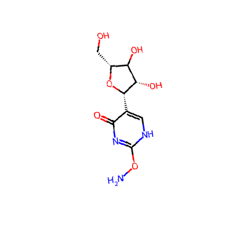 NOc1nc(=O)c([C@@H]2O[C@H](CO)C(O)[C@@H]2O)c[nH]1